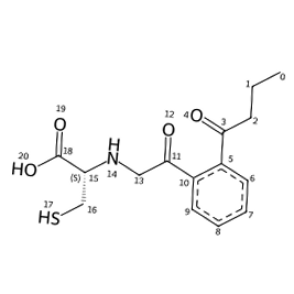 CCCC(=O)c1ccccc1C(=O)CN[C@H](CS)C(=O)O